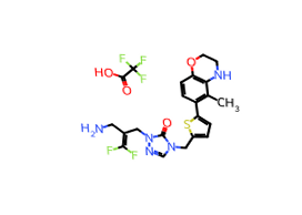 Cc1c(-c2ccc(Cn3cnn(CC(CN)=C(F)F)c3=O)s2)ccc2c1NCCO2.O=C(O)C(F)(F)F